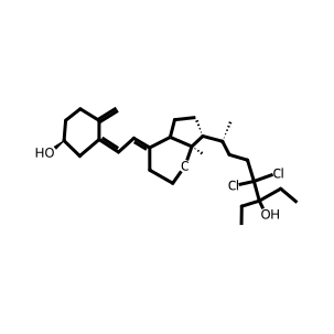 C=C1CC[C@H](O)C/C1=C/C=C1CCC[C@@]2(C)C1CC[C@@H]2[C@H](C)CCC(Cl)(Cl)C(O)(CC)CC